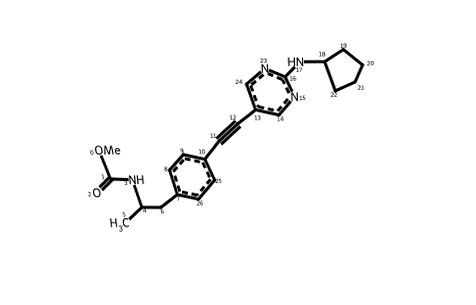 COC(=O)NC(C)Cc1ccc(C#Cc2cnc(NC3CCCC3)nc2)cc1